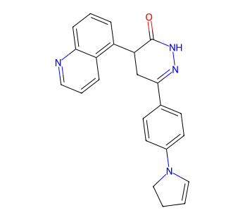 O=C1NN=C(c2ccc(N3C=CCC3)cc2)CC1c1cccc2ncccc12